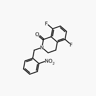 O=C1c2c(F)ccc(F)c2CCN1Cc1ccccc1[N+](=O)[O-]